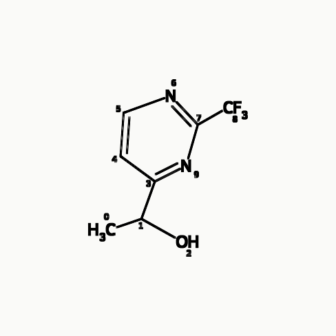 CC(O)c1ccnc(C(F)(F)F)n1